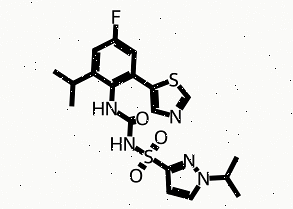 CC(C)c1cc(F)cc(-c2cncs2)c1NC(=O)NS(=O)(=O)c1ccn(C(C)C)n1